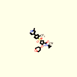 Cc1cc(-c2ccc(S(=O)(=O)[C@H]3CC(C(=O)NC4(C#N)CC4)[C@@H](OC4CCOCC4)C3)c(C(F)(F)F)c2)ccn1